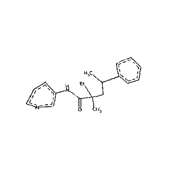 CCC(C)(CC(C)c1ccccc1)C(=O)Nc1cccnc1